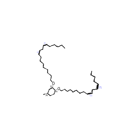 CCCC/C=C\C/C=C\CCCCCCCCO[C@@H]1CC[C@@H](C)C[C@@H]1OCCCCCCCC/C=C\C/C=C\CCCCC